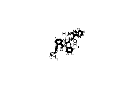 COCC#Cc1cccc2nc([C@H](C)NC(=O)c3c(N)nn4cccnc34)n(-c3ccccc3)c(=O)c12